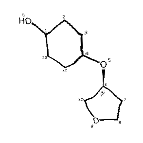 OC1CCC(O[C@H]2CCOC2)CC1